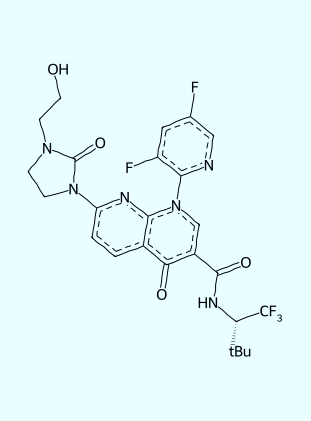 CC(C)(C)[C@H](NC(=O)c1cn(-c2ncc(F)cc2F)c2nc(N3CCN(CCO)C3=O)ccc2c1=O)C(F)(F)F